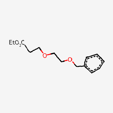 CCOC(=O)CCOCCOCc1ccccc1